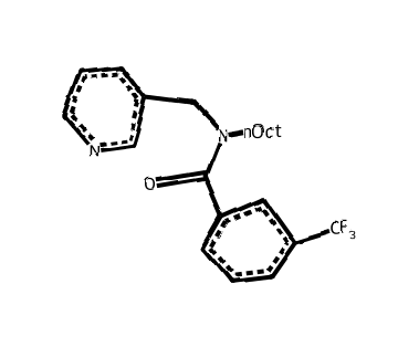 CCCCCCCCN(Cc1cccnc1)C(=O)c1cccc(C(F)(F)F)c1